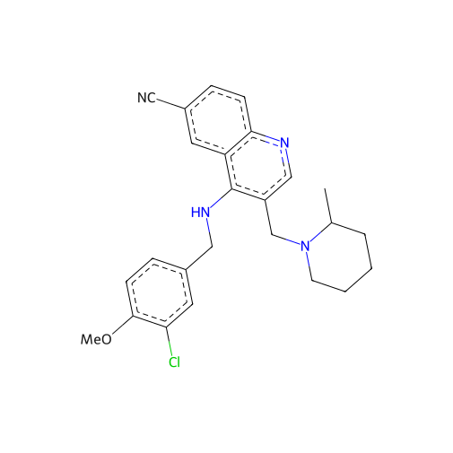 COc1ccc(CNc2c(CN3CCCCC3C)cnc3ccc(C#N)cc23)cc1Cl